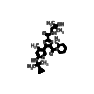 Cc1cc(NC(C)(C)C2CC2)ncc1-c1sc(C(=O)NCC(C)(C)O)nc1C(=O)N1CCCC[C@@H]1C